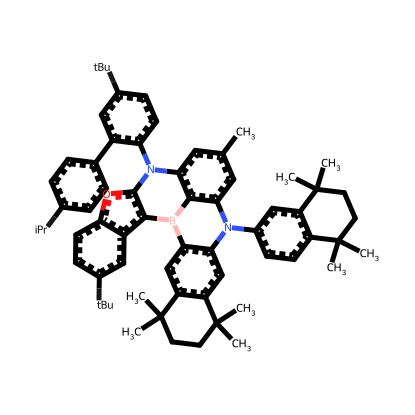 Cc1cc2c3c(c1)N(c1ccc(C(C)(C)C)cc1-c1ccc(C(C)C)cc1)c1oc4ccc(C(C)(C)C)cc4c1B3c1cc3c(cc1N2c1ccc2c(c1)C(C)(C)CCC2(C)C)C(C)(C)CCC3(C)C